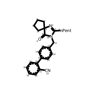 CCCCCC1=NC2(CCCC2)C(=O)N1Cc1ccc(-c2ccccc2C#N)cc1